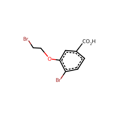 O=C(O)c1ccc(Br)c(OCCBr)c1